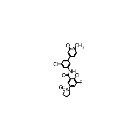 Cn1ccc(-c2cc(Cl)cc(NC(=O)c3cc(N4CCC[S+]4[O-])cc(F)c3Cl)c2)cc1=O